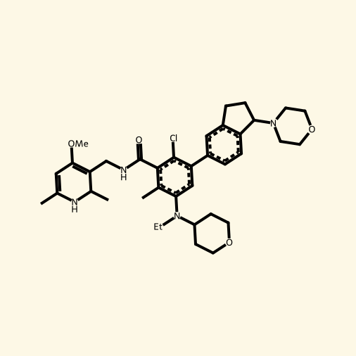 CCN(c1cc(-c2ccc3c(c2)CCC3N2CCOCC2)c(Cl)c(C(=O)NCC2=C(OC)C=C(C)NC2C)c1C)C1CCOCC1